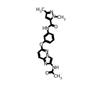 CC(=O)Nc1cn2nc(Oc3cccc(NC(=O)c4cc(C)nn4C)c3)ccc2n1